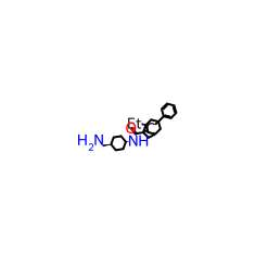 CCC12CC3CC(c4ccccc4)(C1)CC2(C(=O)N[C@H]1CC[C@H](CN)CC1)C3